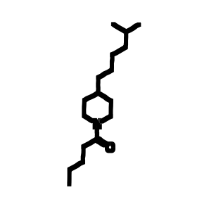 CCCCC(=O)N1CCC(CCCCC(C)C)CC1